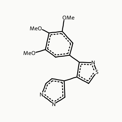 COc1cc(-c2nscc2-c2ccnnc2)cc(OC)c1OC